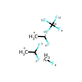 CC(F)F.CCF.CF.FC(F)(F)F